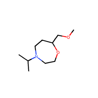 COCC1CCN(C(C)C)CCO1